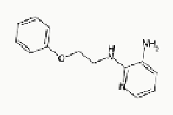 Nc1cccnc1NCCOc1ccccc1